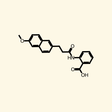 COc1ccc2cc(CCC(=O)Nc3ccccc3C(=O)O)ccc2c1